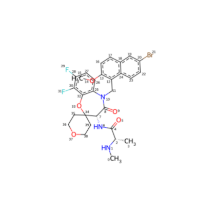 CN[C@@H](C)C(=O)N[C@H]1C(=O)N(Cc2c(OC)ccc3cc(Br)ccc23)c2ccc(F)c(F)c2OC12CCOCC2